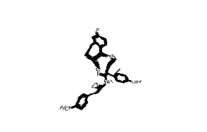 O=C(Cc1ccc(O)cc1)Nc1nc2c(nc1-c1ccc(O)cc1)-c1ccc(F)cc1CC2